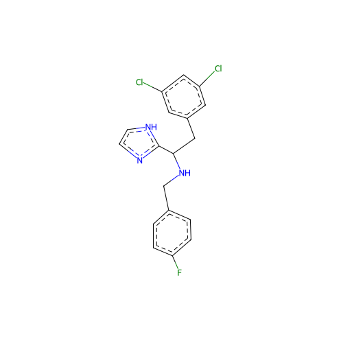 Fc1ccc(CNC(Cc2cc(Cl)cc(Cl)c2)c2ncc[nH]2)cc1